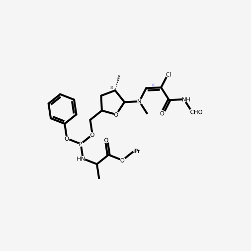 CC(C)OC(=O)C(C)NP(OCC1C[C@H](C)C(N(C)/C=C(/Cl)C(=O)NC=O)O1)Oc1ccccc1